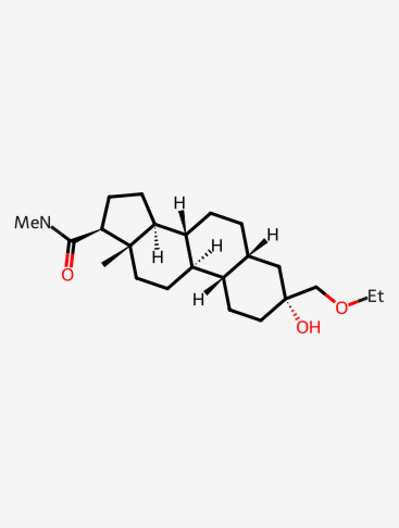 CCOC[C@@]1(O)CC[C@H]2[C@H](CC[C@@H]3[C@@H]2CC[C@]2(C)[C@@H](C(=O)NC)CC[C@@H]32)C1